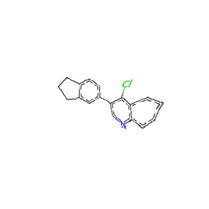 Clc1c(-c2ccc3c(c2)CCC3)cnc2ccccc12